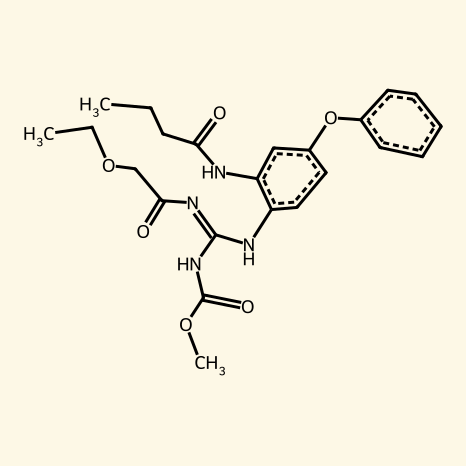 CCCC(=O)Nc1cc(Oc2ccccc2)ccc1NC(=NC(=O)COCC)NC(=O)OC